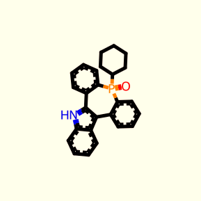 O=P1(C2CCCCC2)c2ccccc2-c2[nH]c3ccccc3c2-c2ccccc21